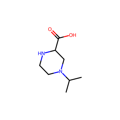 CC(C)N1CCNC(C(=O)O)C1